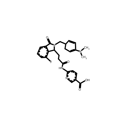 CN(C)C1=CCC(CN2C(=O)c3cccc(F)c3C2CCC(=O)Nc2ccc(C(=O)O)cn2)C=C1